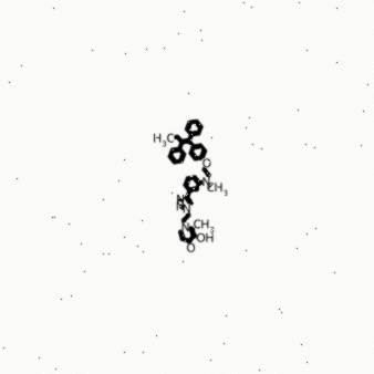 CC/C(=C(\c1ccccc1)c1ccc(OCCN(C)c2cccc(-c3cn(CCn4ccc(=O)c(O)c4C)nn3)c2)cc1)c1ccccc1